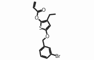 C=CC(=O)Oc1sc(OCc2cccc(Br)c2)cc1CC